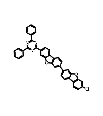 Clc1ccc2c(c1)oc1cc(-c3ccc4c(c3)oc3cc(-c5nc(-c6ccccc6)nc(-c6ccccc6)n5)ccc34)ccc12